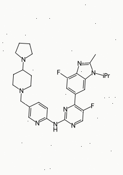 Cc1nc2c(F)cc(-c3nc(Nc4ccc(CN5CCC(N6CCCC6)CC5)cn4)ncc3F)cc2n1C(C)C